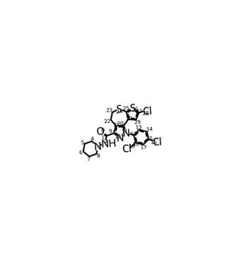 O=C(NN1CCCCC1)c1nn(-c2ccc(Cl)cc2Cl)c2c1CCSc1sc(Cl)cc1-2